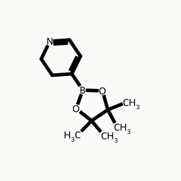 CC1(C)OB(C2=CC=NCC2)OC1(C)C